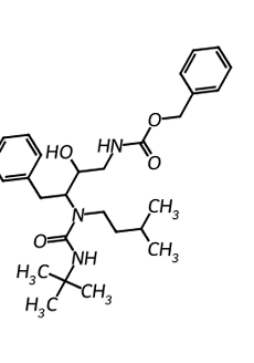 CC(C)CCN(C(=O)NC(C)(C)C)C(Cc1ccccc1)C(O)CNC(=O)OCc1ccccc1